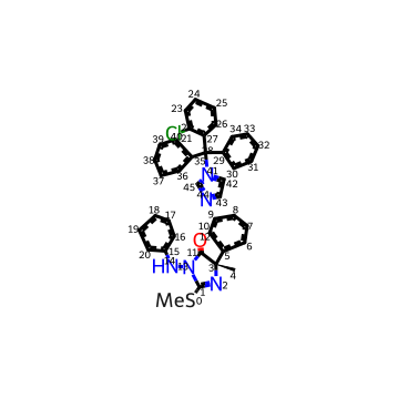 CSC1=N[C@@](C)(c2ccccc2)C(=O)N1Nc1ccccc1.Clc1ccccc1C(c1ccccc1)(c1ccccc1)n1ccnc1